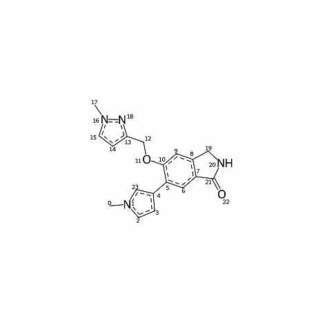 Cn1ccc(-c2cc3c(cc2OCc2ccn(C)n2)CNC3=O)c1